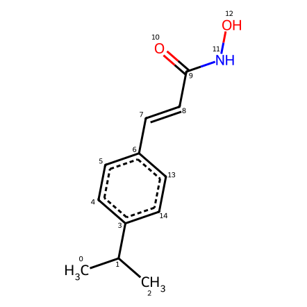 CC(C)c1ccc(/C=C/C(=O)NO)cc1